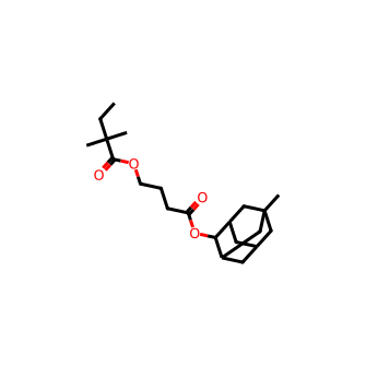 CCC(C)(C)C(=O)OCCCC(=O)OC1C2CC3CC1CC(C)(C3)C2